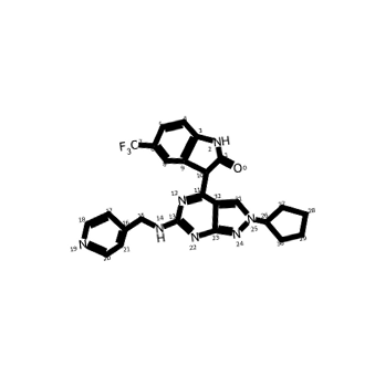 O=C1Nc2ccc(C(F)(F)F)cc2C1c1nc(NCc2ccncc2)nc2nn(C3CCCC3)cc12